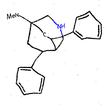 CNC12CNCC(C(c3ccccc3)C1)C(c1ccccc1)C2